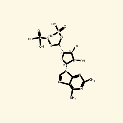 Cc1nc(N)c2ncn([C@@H]3O[C@H](C(OP(=O)(O)O)SOP(=O)(O)O)[C@@H](O)[C@H]3O)c2n1